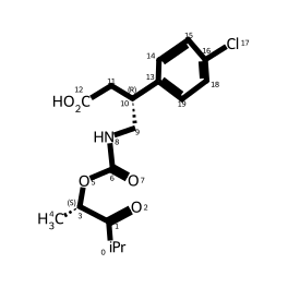 CC(C)C(=O)[C@H](C)OC(=O)NC[C@H](CC(=O)O)c1ccc(Cl)cc1